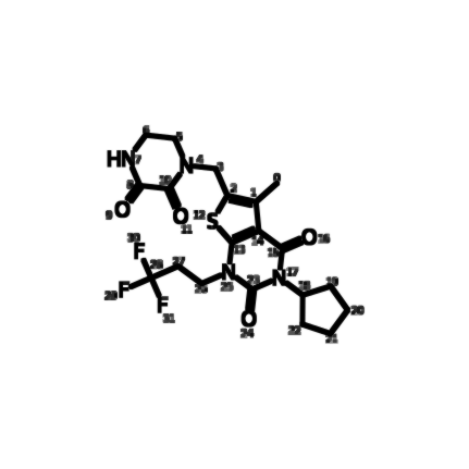 Cc1c(CN2CCNC(=O)C2=O)sc2c1c(=O)n(C1CCCC1)c(=O)n2CCC(F)(F)F